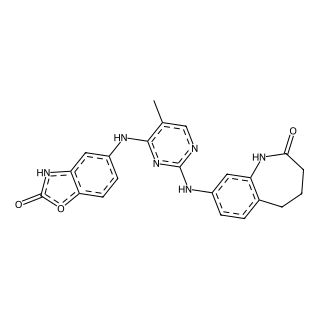 Cc1cnc(Nc2ccc3c(c2)NC(=O)CCC3)nc1Nc1ccc2oc(=O)[nH]c2c1